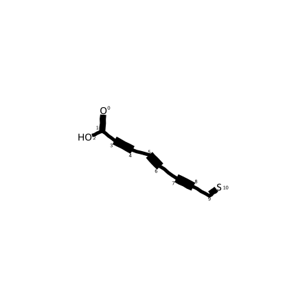 O=C(O)C#CC#CC#CC=S